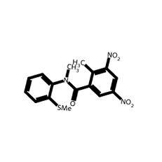 CSc1ccccc1N(C)C(=O)c1cc([N+](=O)[O-])cc([N+](=O)[O-])c1C